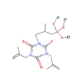 C=C(C)Cn1c(=O)n(CC(=C)C)c(=O)n(CC(C)C[Si](OCC)(OCC)OCC)c1=O